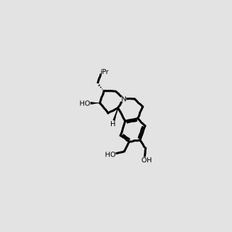 CC(C)C[C@@H]1CN2CCc3cc(CO)c(CO)cc3[C@@H]2C[C@H]1O